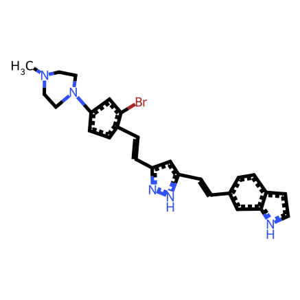 CN1CCN(c2ccc(C=Cc3cc(C=Cc4ccc5cc[nH]c5c4)[nH]n3)c(Br)c2)CC1